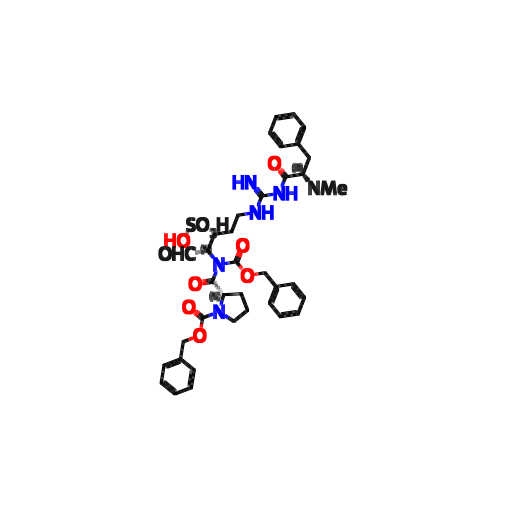 CN[C@H](Cc1ccccc1)C(=O)NC(=N)NCCC[C@@H](C=O)N(C(=O)OCc1ccccc1)C(=O)[C@@H]1CCCN1C(=O)OCc1ccccc1.O=S(=O)(O)O